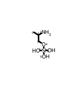 CC(N)CO[Si](O)(O)O